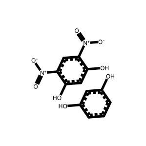 O=[N+]([O-])c1cc([N+](=O)[O-])c(O)cc1O.Oc1cccc(O)c1